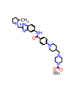 C[C@H]1CCCN1Cc1nc2cc(NC(=O)c3ccc(N4CCC(CN5CCN(C(=O)OC(C)(C)C)CC5)CC4)cc3)ccc2[nH]1